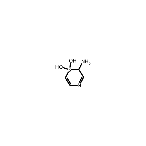 NC1[C]=NC=CS1(O)O